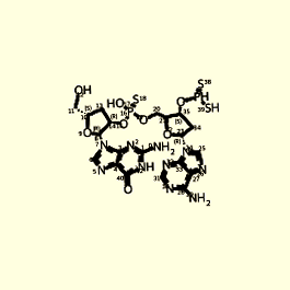 Nc1nc2c(ncn2[C@@H]2O[C@H](CO)C[C@H]2OP(O)(=S)OCC2O[C@@H](n3cnc4c(N)ncnc43)C[C@@H]2O[PH](=S)S)c(=O)[nH]1